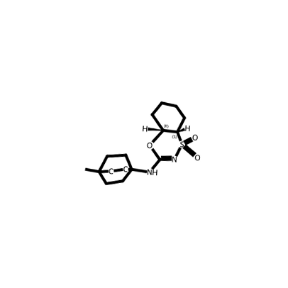 CC12CCC(NC3=NS(=O)(=O)[C@H]4CCCC[C@H]4O3)(CC1)CC2